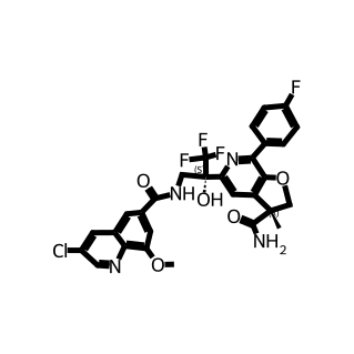 COc1cc(C(=O)NC[C@](O)(c2cc3c(c(-c4ccc(F)cc4)n2)OC[C@]3(C)C(N)=O)C(F)(F)F)cc2cc(Cl)cnc12